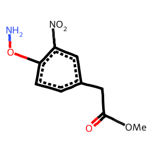 COC(=O)Cc1ccc(ON)c([N+](=O)[O-])c1